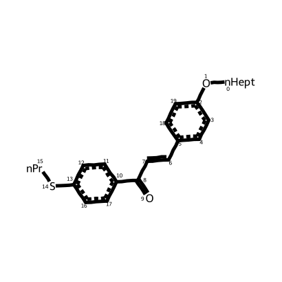 CCCCCCCOc1ccc(C=CC(=O)c2ccc(SCCC)cc2)cc1